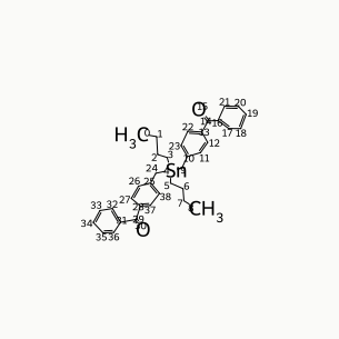 CCC[CH2][Sn]([CH2]CCC)([CH2]c1ccc(C(=O)c2ccccc2)cc1)[CH2]c1ccc(C(=O)c2ccccc2)cc1